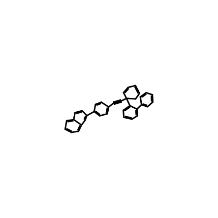 C(#CC1(c2ccccc2-c2ccccc2)C=CC=CC1)c1ccc(-c2ccc3ccccc3c2)cc1